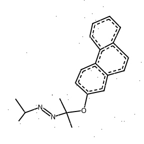 CC(C)N=NC(C)(C)Oc1ccc2c(ccc3ccccc32)c1